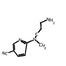 CN(CCCN)c1ccc(C#N)cn1